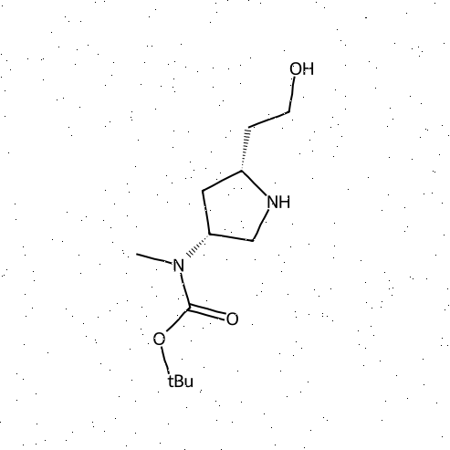 CN(C(=O)OC(C)(C)C)[C@H]1CN[C@@H](CCO)C1